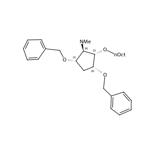 CCCCCCCCO[C@H]1[C@H](NC)[C@@H](OCc2ccccc2)C[C@H]1OCc1ccccc1